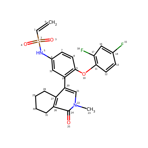 C=CS(=O)(=O)Nc1ccc(Oc2ccc(F)cc2F)c(-c2cn(C)c(=O)c3c2CCCC3)c1